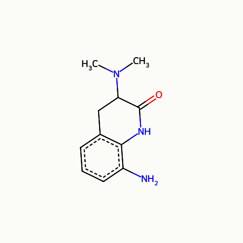 CN(C)C1Cc2cccc(N)c2NC1=O